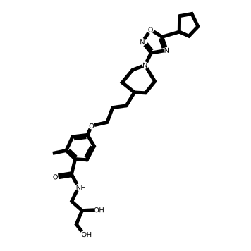 Cc1cc(OCCCC2CCN(c3noc(C4CCCC4)n3)CC2)ccc1C(=O)NCC(O)CO